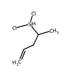 C=CCC(C)[SiH](Cl)Cl